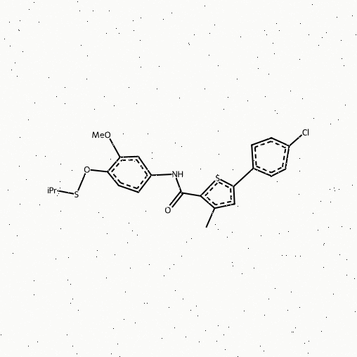 COc1cc(NC(=O)c2sc(-c3ccc(Cl)cc3)cc2C)ccc1OSC(C)C